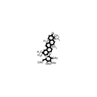 CC(=O)OCC1O[C@@H](C[C@@]23CCC4C(=CCC5[C@@]4(C)CCC4C(C)(C)C(=O)CC[C@@]45C)C2CC(C)(C)CC3)C(OC(C)=O)C(OC(C)=O)[C@@H]1OC(C)=O